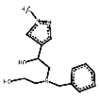 Cn1cc(C(O)CN(CCO)Cc2ccccc2)cn1